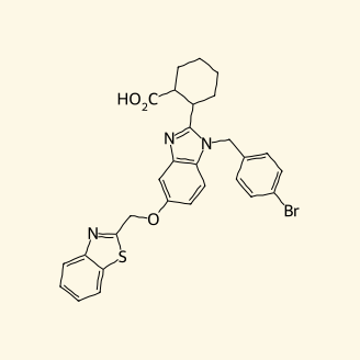 O=C(O)C1CCCCC1c1nc2cc(OCc3nc4ccccc4s3)ccc2n1Cc1ccc(Br)cc1